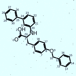 O=C(O)[C@H](Cc1ccc(OCc2ccccc2)cc1)Nc1cccc(-c2ccccc2)c1